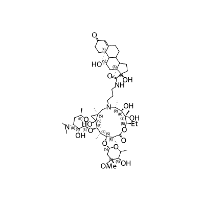 CC[C@H]1OC(=O)[C@H](C)[C@@H](O[C@@H]2C[C@](C)(OC)[C@H](O)C(C)O2)[C@H](C)[C@@H](O[C@@H]2O[C@H](C)C[C@@H](N(C)C)[C@H]2O)[C@]2(O)C[C@@]2(C)CN(CCCNC(=O)[C@@]2(O)CCC3C4CCC5=CC(=O)CC[C@]5(C)C4[C@@H](O)C[C@@]32C)[C@H](C)[C@@H](O)[C@]1(C)O